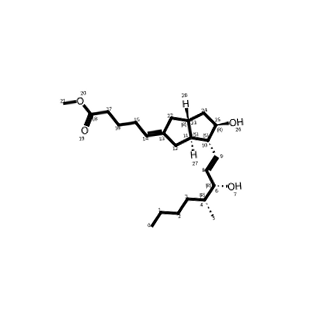 CCCC[C@@H](C)[C@@H](O)C=C[C@@H]1[C@H]2CC(=CCCCC(=O)OC)C[C@@H]2C[C@H]1O